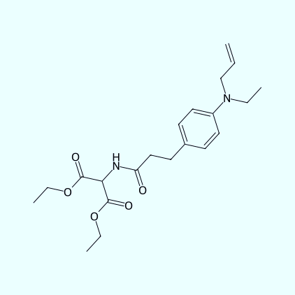 C=CCN(CC)c1ccc(CCC(=O)NC(C(=O)OCC)C(=O)OCC)cc1